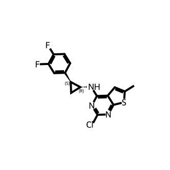 Cc1cc2c(N[C@@H]3C[C@H]3c3ccc(F)c(F)c3)nc(Cl)nc2s1